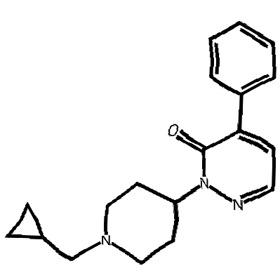 O=c1c(-c2ccccc2)ccnn1C1CCN(CC2CC2)CC1